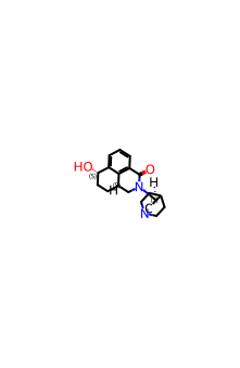 O=C1c2cccc3c2[C@H](CC[C@@H]3O)CN1[C@@H]1CN2CCC1CC2